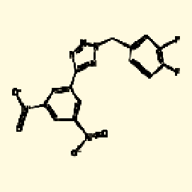 O=[N+]([O-])c1cc(-c2nnn(Cc3ccc(F)c(F)c3)n2)cc([N+](=O)[O-])c1